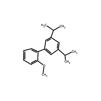 COc1ccccc1-c1cc(C(C)C)[c]c(C(C)C)c1